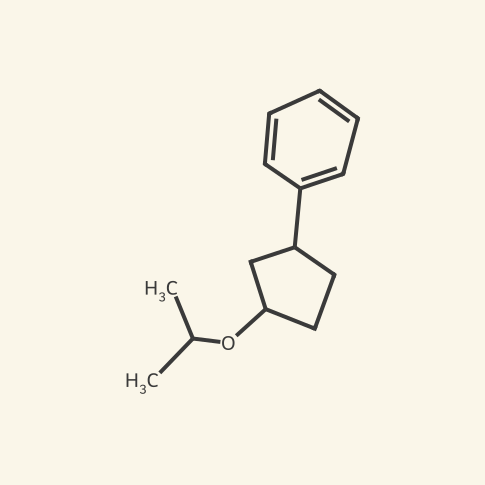 CC(C)OC1CCC(c2ccccc2)C1